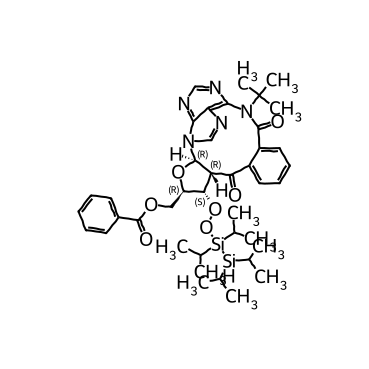 CC(C)[SiH](C(C)C)[Si](OO[C@H]1[C@H]2C(=O)c3ccccc3C(=O)N(C(C)(C)C)c3ncnc4c3ncn4[C@@H]2O[C@@H]1COC(=O)c1ccccc1)(C(C)C)C(C)C